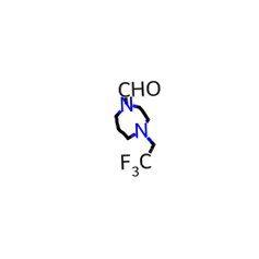 O=CN1CCCN(CC(F)(F)F)CC1